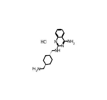 Cl.NC[C@H]1CC[C@H](CNc2nc(N)c3ccccc3n2)CC1